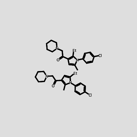 CCc1c(C(=O)CN2CCCCC2)cc(C)n1-c1ccc(Cl)cc1.CCc1cc(C(=O)CN2CCCCC2)c(C)n1-c1ccc(Cl)cc1